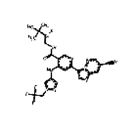 CC(C)(O)[C@H](F)CNC(=O)c1cnc(-c2cnc3cc(C#N)cnn23)cc1Nc1cnn(CC(F)(F)F)c1